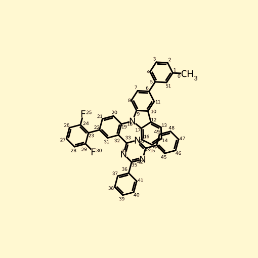 Cc1cccc(-c2ccc3c(c2)c2ccccc2n3-c2ccc(-c3c(F)cccc3F)cc2-c2nc(-c3ccccc3)nc(-c3ccccc3)n2)c1